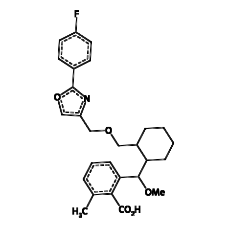 COC(c1cccc(C)c1C(=O)O)C1CCCCC1COCc1coc(-c2ccc(F)cc2)n1